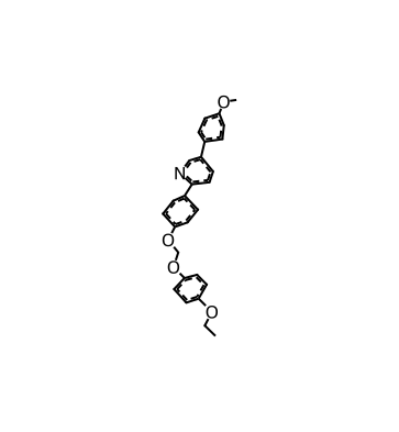 CCOc1ccc(OCOc2ccc(-c3ccc(-c4ccc(OC)cc4)cn3)cc2)cc1